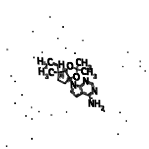 C=C[C@@]1(C)CC[C@]2(n3ccc4c(N)ncnc43)OC(C)(C)O[C@H]12